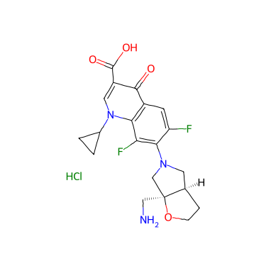 Cl.NC[C@]12CN(c3c(F)cc4c(=O)c(C(=O)O)cn(C5CC5)c4c3F)C[C@H]1CCO2